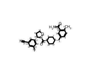 Cc1ccc(C[C@H]2CC[C@H](C(=O)N3OCC[C@H]3c3cc(F)cc(C#N)c3)CC2)cc1C(N)=O